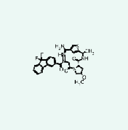 CO[C@@H]1C[C@@H](C(=O)NC(C)c2cc(C(=N)N)cs2)N(C(=O)CNC(=O)c2ccc3c(c2)-c2ccccc2C3(F)F)C1